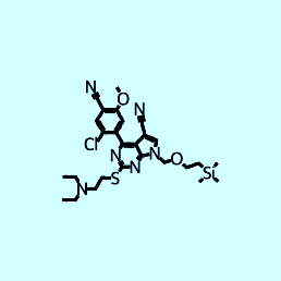 CCN(CC)CCSc1nc(-c2cc(OC)c(C#N)cc2Cl)c2c(C#N)cn(COCC[Si](C)(C)C)c2n1